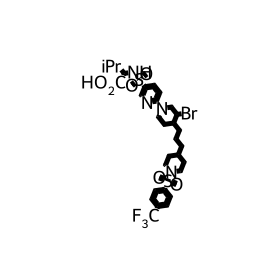 CC(C)C(NS(=O)(=O)c1ccc(N2CCC(CCCC3CCN(S(=O)(=O)c4ccc(C(F)(F)F)cc4)CC3)C(Br)C2)nc1)C(=O)O